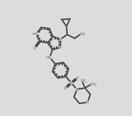 CC1(C)COCCN1S(=O)(=O)c1ccc(Nc2nn(C(CC#N)C3CC3)c3cc[nH]c(=O)c23)cc1